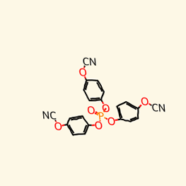 N#COc1ccc(OP(=O)(Oc2ccc(OC#N)cc2)Oc2ccc(OC#N)cc2)cc1